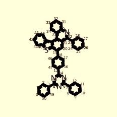 c1ccc(-c2nc(-c3ccccc3)nc(-c3ccc(-c4cc5c(-c6ccccc6)nc6ccccc6c5c5c4sc4ccccc45)cc3)n2)cc1